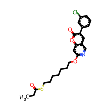 CCC(=O)SCCCCCCCOc1cc2oc(=O)c(-c3cccc(Cl)c3)cc2cn1